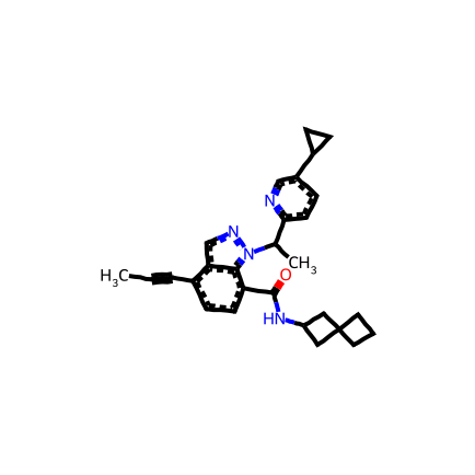 CC#Cc1ccc(C(=O)NC2CC3(CCC3)C2)c2c1cnn2C(C)c1ccc(C2CC2)cn1